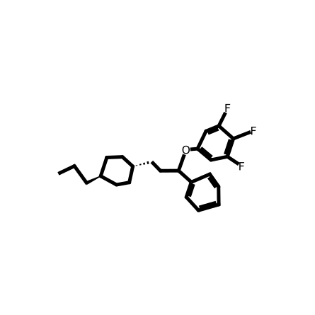 CCC[C@H]1CC[C@H](CCC(Oc2cc(F)c(F)c(F)c2)c2ccccc2)CC1